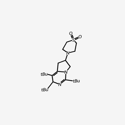 CC(C)(C)C1=NC(C(C)(C)C)C(C(C)(C)C)=C2CC(N3CCS(=O)(=O)CC3)CN12